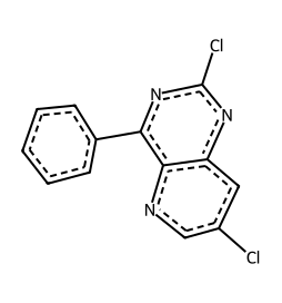 Clc1cnc2c(-c3ccccc3)nc(Cl)nc2c1